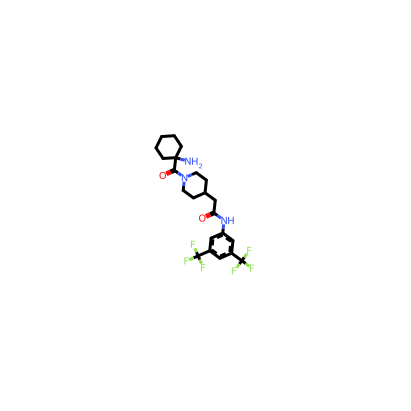 NC1(C(=O)N2CCC(CC(=O)Nc3cc(C(F)(F)F)cc(C(F)(F)F)c3)CC2)CCCCC1